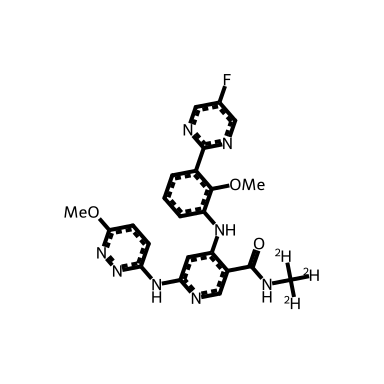 [2H]C([2H])([2H])NC(=O)c1cnc(Nc2ccc(OC)nn2)cc1Nc1cccc(-c2ncc(F)cn2)c1OC